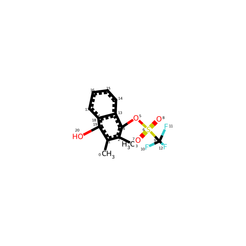 Cc1c(C)c(OS(=O)(=O)C(F)(F)F)c2ccccc2c1O